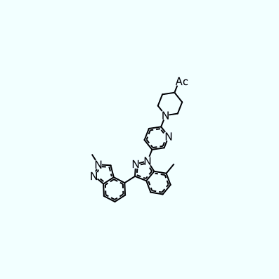 CC(=O)C1CCN(c2ccc(-n3nc(-c4cccc5nn(C)cc45)c4cccc(C)c43)cn2)CC1